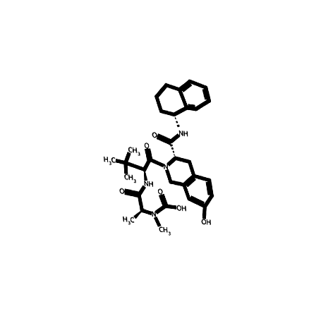 C[C@@H](C(=O)N[C@H](C(=O)N1Cc2cc(O)ccc2C[C@H]1C(=O)N[C@@H]1CCCc2ccccc21)C(C)(C)C)N(C)C(=O)O